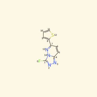 Fc1nnc2ccc(-c3cccs3)nn12